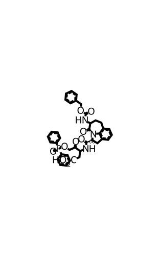 O=C(O)CC(NC(=O)[C@@H]1Cc2cccc3c2N1C(=O)C(NC(=O)OCc1ccccc1)CC3)C(=O)COP(=O)(c1ccccc1)c1ccccc1